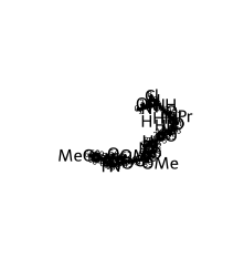 C=CC(=O)Nc1cc(Cl)nc(NCCCC(=O)N[C@H](C(=O)N[C@@H](C)C(=O)Nc2ccc(C3=CN4C(=O)c5cc(OC)c(OCCCOc6cc7c(cc6OC)C(=O)N6C=C(c8ccc(OC)cc8)C[C@H]6C=N7)cc5N=C[C@@H]4C3)cc2)C(C)C)n1